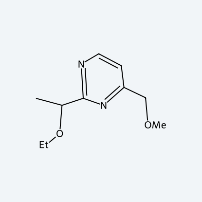 CCOC(C)c1nccc(COC)n1